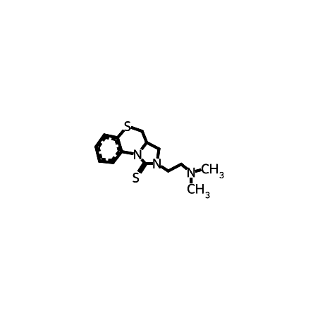 CN(C)CCN1CC2CSc3ccccc3N2C1=S